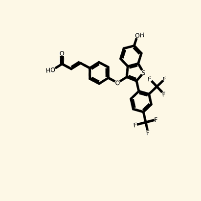 O=C(O)/C=C/c1ccc(Oc2c(-c3ccc(C(F)(F)F)cc3C(F)(F)F)sc3cc(O)ccc23)cc1